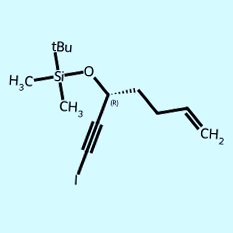 C=CCC[C@H](C#CI)O[Si](C)(C)C(C)(C)C